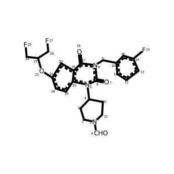 O=CN1CCC(n2c(=O)n(Cc3cccc(F)c3)c(=O)c3cc(OC(CF)CF)ccc32)CC1